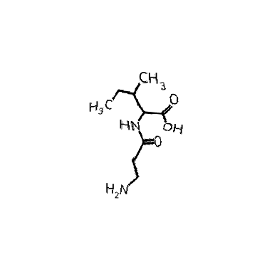 CCC(C)C(NC(=O)CCN)C(=O)O